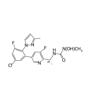 Cc1ccn(-c2c(F)cc(Cl)cc2-c2cnc([C@@H](C)NC(=O)N(C)O)c(F)c2)n1